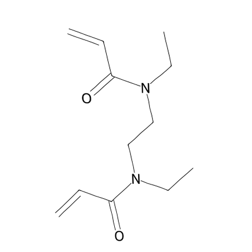 C=CC(=O)N(CC)CCN(CC)C(=O)C=C